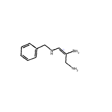 B/C(=C/NCc1ccccc1)CN